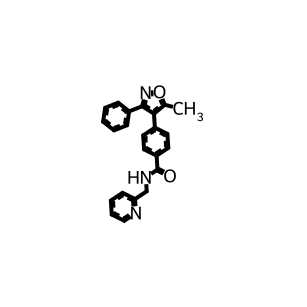 Cc1onc(-c2ccccc2)c1-c1ccc(C(=O)NCc2ccccn2)cc1